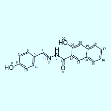 O=C(N/N=C/c1ccc(O)cc1)c1cc2ccccc2cc1O